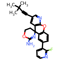 CC(C)(C)C#Cc1cnc2c(c1)C1(CCOC(N)=N1)c1cc(-c3cccnc3F)ccc1O2